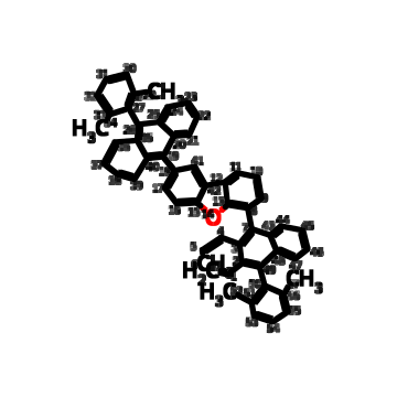 C=Cc1c(/C=C\C)c(-c2cccc3c2oc2ccc(-c4c5ccccc5c(-c5c(C)cccc5C)c5ccccc45)cc23)c2ccccc2c1-c1c(C)cccc1C